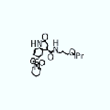 CC(C)OCCCNC(=O)c1cc(=O)[nH]c2ccc(S(=O)(=O)N3CCCCC3)cc12